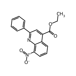 CCOC(=O)c1cc(-c2ccccc2)nc2c([N+](=O)[O-])cccc12